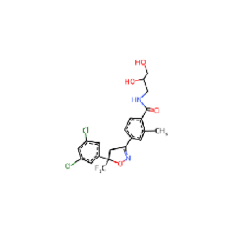 Cc1cc(C2=NOC(c3cc(Cl)cc(Cl)c3)(C(F)(F)F)C2)ccc1C(=O)NCC(O)CO